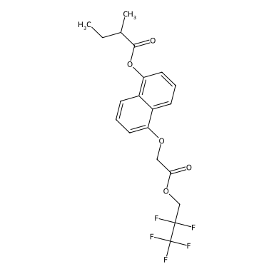 CCC(C)C(=O)Oc1cccc2c(OCC(=O)OCC(F)(F)C(F)(F)F)cccc12